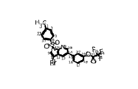 Cc1ccc(S(=O)(=O)n2cc(Br)c3cc(-c4cccc(OC(=O)C(F)(F)F)c4)cnc32)cc1